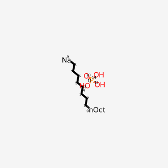 CCCCCCCCCCCCCCC[CH2][Na].O=P(O)(O)O